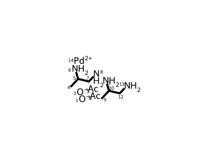 CC(=O)[O-].CC(=O)[O-].CC(N)CN.CC(N)CN.[Pd+2]